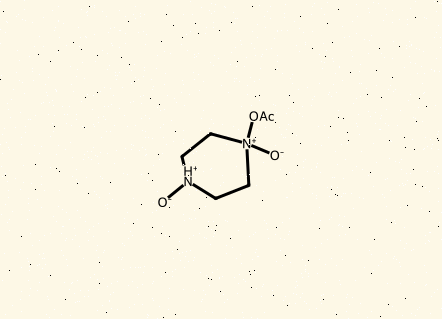 CC(=O)O[N+]1([O-])CC[NH+]([O-])CC1